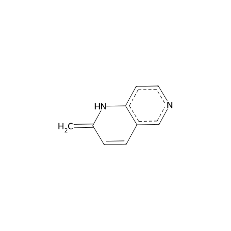 C=C1C=Cc2cnccc2N1